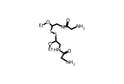 CCOC(CNC(=O)CN)SSC(CNC(=O)CN)OCC